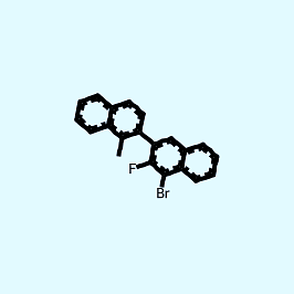 Cc1c(-c2cc3ccccc3c(Br)c2F)ccc2ccccc12